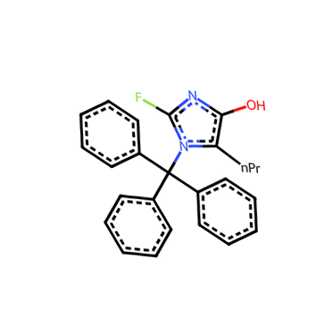 CCCc1c(O)nc(F)n1C(c1ccccc1)(c1ccccc1)c1ccccc1